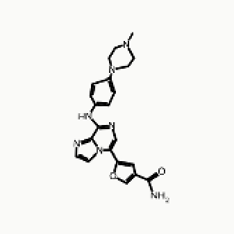 CN1CCN(c2ccc(Nc3ncc(-c4cc(C(N)=O)co4)n4ccnc34)cc2)CC1